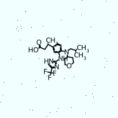 CC(C)CN(c1ccc([C@H](C)CC(=O)O)cc1Nc1nc(C(F)(F)F)c[nH]1)C1CCOCC1